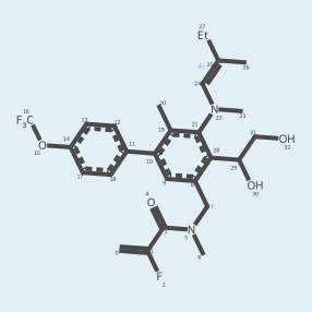 C=C(F)C(=O)N(C)Cc1cc(-c2ccc(OC(F)(F)F)cc2)c(C)c(N(C)/C=C(\C)CC)c1C(O)CO